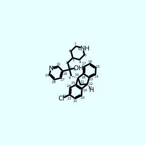 OC(CC1CCNCC1)(C[C@@]12C[C@@H](c3ccccc31)c1ccc(Cl)cc12)c1cccnc1